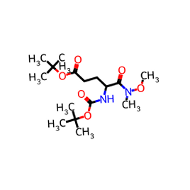 CON(C)C(=O)C(CCC(=O)OC(C)(C)C)NC(=O)OC(C)(C)C